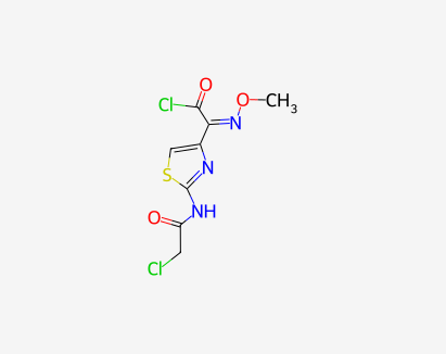 CO/N=C(\C(=O)Cl)c1csc(NC(=O)CCl)n1